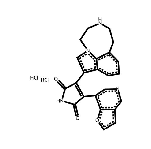 Cl.Cl.O=C1NC(=O)C(c2cncc3ccoc23)=C1c1cn2c3c(cccc13)CCNCC2